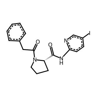 O=C(Nc1ccc(I)cn1)[C@@H]1CCCN1C(=O)Cc1ccccc1